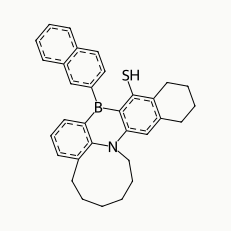 Sc1c2c(cc3c1B(c1ccc4ccccc4c1)c1cccc4c1N3CCCCCC4)CCCC2